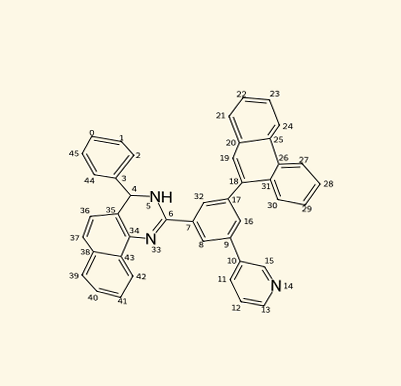 c1ccc(C2NC(c3cc(-c4cccnc4)cc(-c4cc5ccccc5c5ccccc45)c3)=Nc3c2ccc2ccccc32)cc1